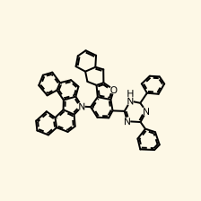 C1=CC2=Cc3oc4c(C5=NC(c6ccccc6)=NC(c6ccccc6)N5)ccc(-n5c6ccc7ccccc7c6c6c7ccccc7ccc65)c4c3CC2C=C1